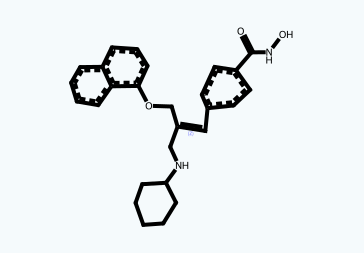 O=C(NO)c1ccc(/C=C(/CNC2CCCCC2)COc2cccc3ccccc23)cc1